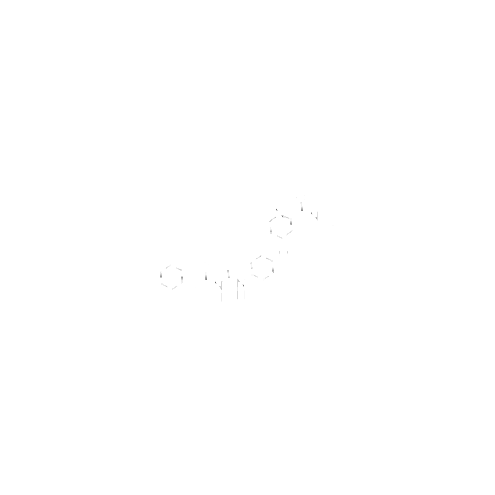 NC(=O)c1cc(Oc2ccc(NC(=S)NC(=O)Cc3ccccc3)cc2F)ccn1